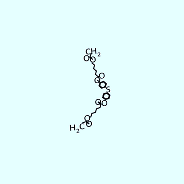 C=CC(=O)OCCCCCC(=O)Oc1ccc(Sc2ccc(OC(=O)CCCCCOC(=O)C=C)cc2)cc1